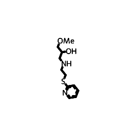 COCC(O)CNCCSc1ccccn1